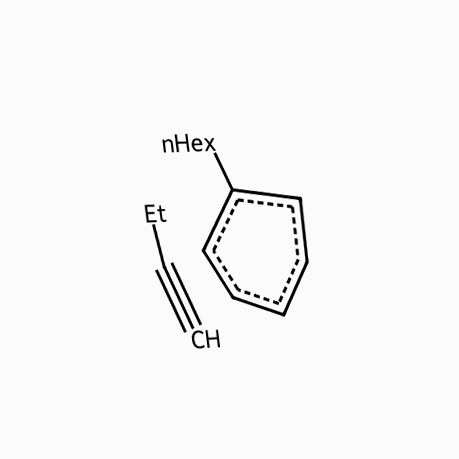 C#CCC.CCCCCCc1ccccc1